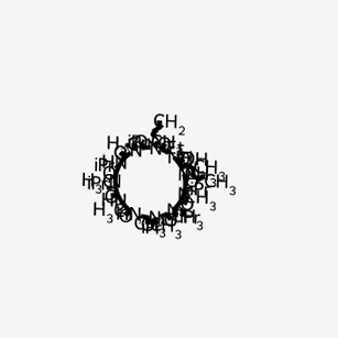 C=CCSC[C@@H]1C(=O)N(C)[C@@H](CC(C)C)C(=O)N[C@H](C(C)C)C(=O)N(C)[C@H](CC(C)C)C(=O)N[C@H](C)C(=O)N[C@@H](C)C(=O)N(C)[C@H](CC(C)C)C(=O)N(C)[C@H](CC(C)C)C(=O)N(C)[C@H](C(C)C)C(=O)N(C)[C@H]([C@H](O)[C@H](C)C/C=C/C)C(=O)N[C@H](CC)C(=O)N1C